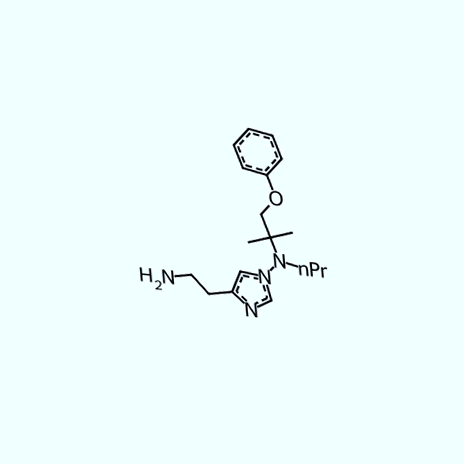 CCCN(n1cnc(CCN)c1)C(C)(C)COc1ccccc1